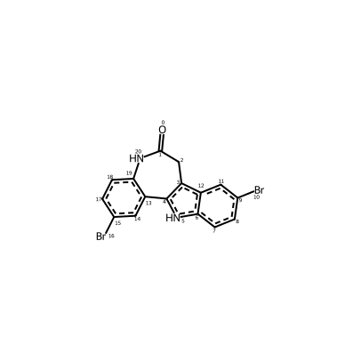 O=C1Cc2c([nH]c3ccc(Br)cc23)-c2cc(Br)ccc2N1